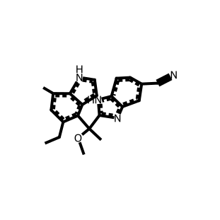 CCc1cc(C)c2[nH]ccc2c1C(C)(OC)c1nc2cc(C#N)ccc2[nH]1